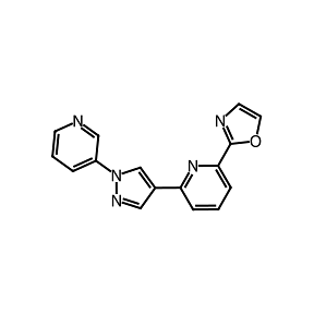 c1cncc(-n2cc(-c3cccc(-c4ncco4)n3)cn2)c1